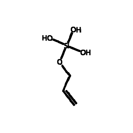 C=CCO[Si](O)(O)O